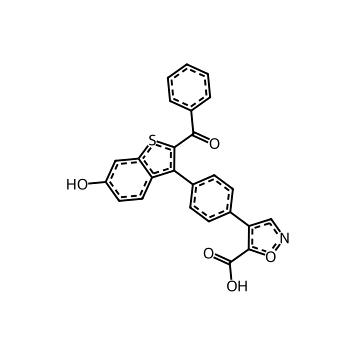 O=C(O)c1oncc1-c1ccc(-c2c(C(=O)c3ccccc3)sc3cc(O)ccc23)cc1